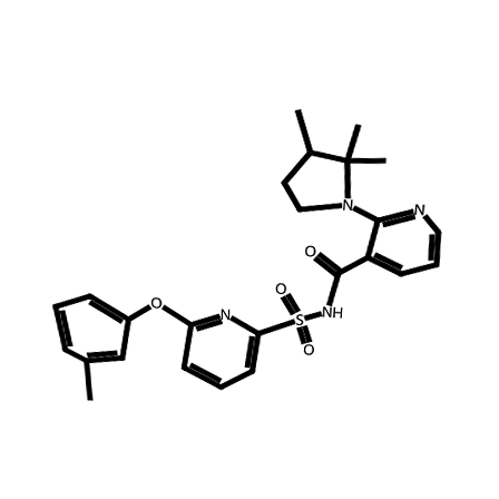 Cc1cccc(Oc2cccc(S(=O)(=O)NC(=O)c3cccnc3N3CCC(C)C3(C)C)n2)c1